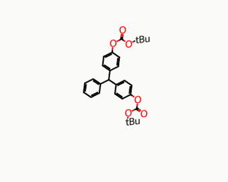 CC(C)(C)OC(=O)Oc1ccc(C(c2ccccc2)c2ccc(OC(=O)OC(C)(C)C)cc2)cc1